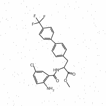 COC(=O)C(Cc1ccc(-c2ccc(C(F)(F)F)cc2)cc1)NC(=O)c1cc(Cl)ccc1N